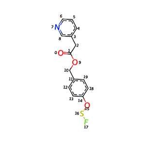 O=C(Cc1cccnc1)OCc1ccc(OSF)cc1